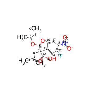 CCC(C)OC(=O)C(CC(C)C)(C(=O)O)c1ccc([N+](=O)[O-])c(F)c1